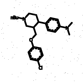 CCCCN1CCC(c2ccc(N(C)C)cc2)C(COc2ccc(Cl)cc2)C1